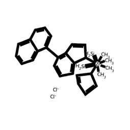 [CH3][Zr]([CH3])([CH3])([CH3])(=[SiH2])(=[SiH2])([CH]1C=CC=C1)[CH]1C=Cc2c(-c3cccc4ccccc34)cccc21.[Cl-].[Cl-]